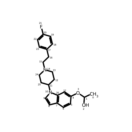 CC(O)Oc1ccc2ccn(C3CCN(CCc4ccc(F)cc4)CC3)c2c1